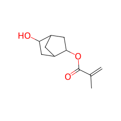 C=C(C)C(=O)OC1CC2CC1CC2O